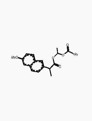 CCCC(=O)OC(C)OC(=O)C(C)c1ccc2cc(OC)ccc2c1